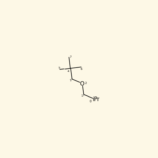 CC(C)[CH]OCC(C)(C)C